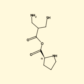 NCC(CS)C(=O)OC(=O)[C@@H]1CCCN1